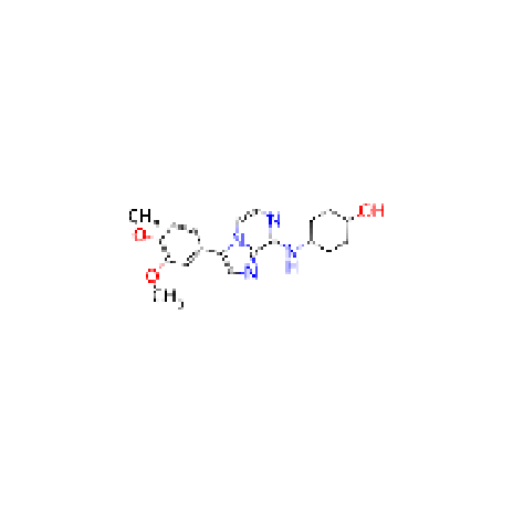 COc1ccc(-c2cnc3c(NC4CCC(O)CC4)nccn23)cc1OC